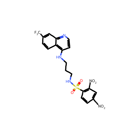 O=[N+]([O-])c1ccc(S(=O)(=O)NCCCNc2ccnc3cc(C(F)(F)F)ccc23)c([N+](=O)[O-])c1